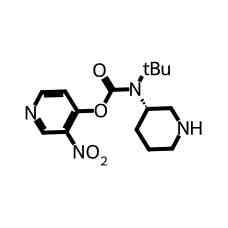 CC(C)(C)N(C(=O)Oc1ccncc1[N+](=O)[O-])[C@H]1CCCNC1